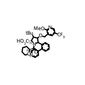 COc1ncc(C(F)(F)F)cc1COC1C(c2ccccc2-c2ccncc2)N(C(=O)[C@@H]2CCCCO2)[C@H](C(=O)O)C1C(C)(C)C